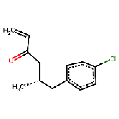 C=CC(=O)C[C@@H](C)Cc1ccc(Cl)cc1